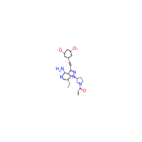 C=CC(=O)N1CC[C@H](n2nc(C#Cc3cc(OC)cc(OC)c3)c3c(N)ncc(CC)c32)C1